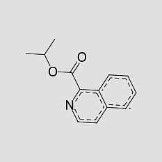 CC(C)OC(=O)c1nccc2[c]cccc12